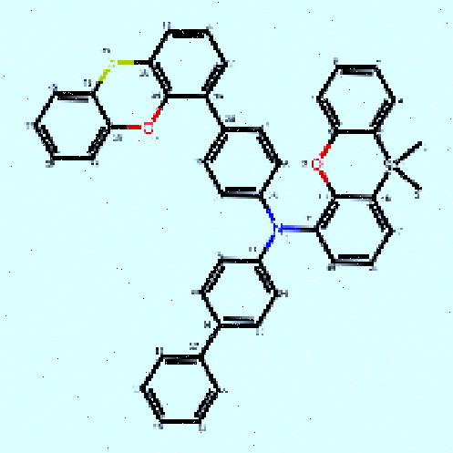 C[Si]1(C)c2ccccc2Oc2c(N(c3ccc(-c4ccccc4)cc3)c3ccc(-c4cccc5c4Oc4ccccc4S5)cc3)cccc21